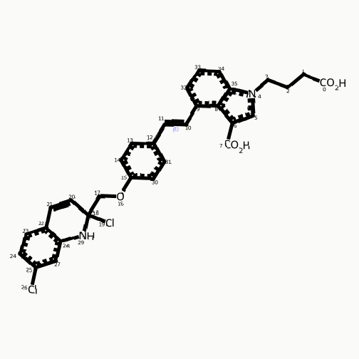 O=C(O)CCCn1cc(C(=O)O)c2c(/C=C/c3ccc(OCC4(Cl)C=Cc5ccc(Cl)cc5N4)cc3)cccc21